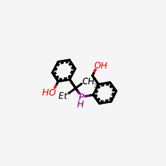 CCC(C)(Pc1ccccc1CO)c1ccccc1O